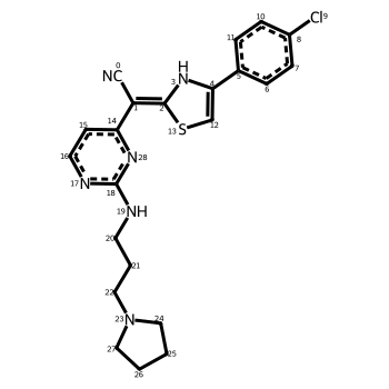 N#C/C(=C1\NC(c2ccc(Cl)cc2)=CS1)c1ccnc(NCCCN2CCCC2)n1